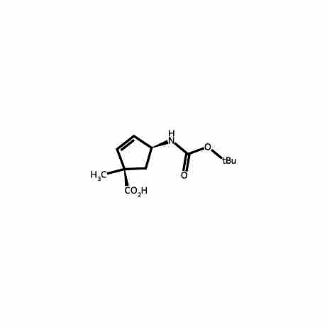 CC(C)(C)OC(=O)N[C@@H]1C=C[C@](C)(C(=O)O)C1